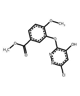 COC(=O)c1ccc(OC)c(Oc2nnc(Cl)cc2O)c1